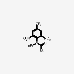 CCCN(C(=O)CC)c1c([N+](=O)[O-])cc(C(F)(F)F)cc1[N+](=O)[O-]